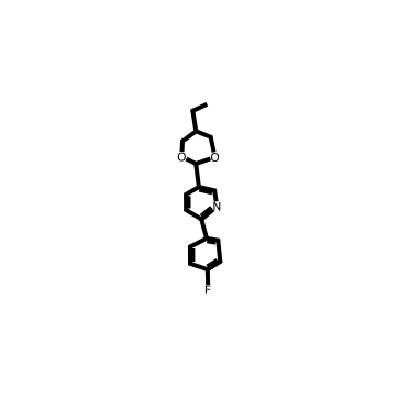 CCC1COC(c2ccc(-c3ccc(F)cc3)nc2)OC1